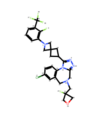 Fc1c(N2CC3(CC(c4nnc5n4-c4ccc(Cl)cc4CN(CC4(F)COC4)C5)C3)C2)cccc1C(F)(F)F